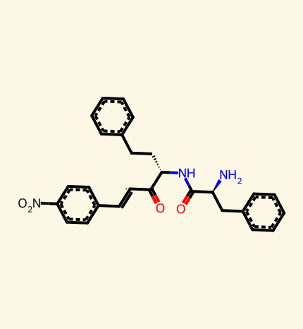 N[C@@H](Cc1ccccc1)C(=O)N[C@@H](CCc1ccccc1)C(=O)[C]=Cc1ccc([N+](=O)[O-])cc1